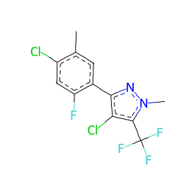 Cc1cc(-c2nn(C)c(C(F)(F)F)c2Cl)c(F)cc1Cl